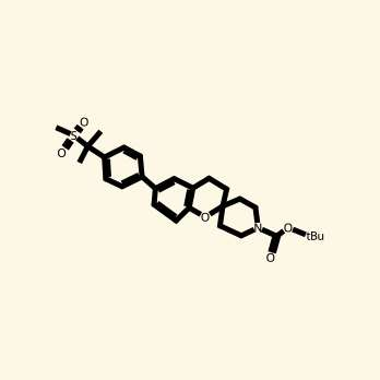 CC(C)(C)OC(=O)N1CCC2(CCc3cc(-c4ccc(C(C)(C)S(C)(=O)=O)cc4)ccc3O2)CC1